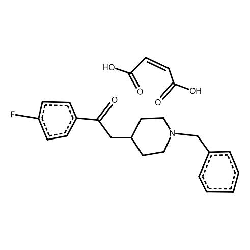 O=C(CC1CCN(Cc2ccccc2)CC1)c1ccc(F)cc1.O=C(O)/C=C\C(=O)O